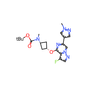 Cn1cc(-c2cn3ncc(F)c3c(O[C@H]3C[C@@H](N(C)C(=O)OC(C)(C)C)C3)n2)cn1